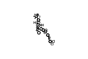 C=C/C=C(\C(C)=C(\C)N)c1ccc(C[C@H](NC(=O)[C@@H]2Cc3cc4c(cc3CN2C(=O)N(C)C2CCCCC2)O[C@@H](c2ccc(OCc3ccc(Cl)c(Cl)c3)cc2)CO4)C(=O)O)cc1